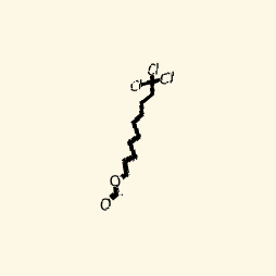 O=[C]OCCCCCCCCCC(Cl)(Cl)Cl